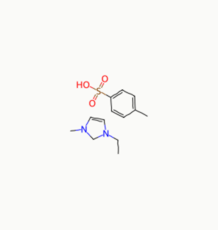 CCN1C=CN(C)C1.Cc1ccc(S(=O)(=O)O)cc1